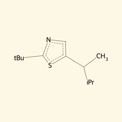 CC(C)C(C)c1cnc(C(C)(C)C)s1